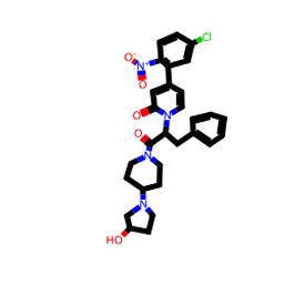 O=C(C(Cc1ccccc1)n1ccc(-c2cc(Cl)ccc2[N+](=O)[O-])cc1=O)N1CCC(N2CCC(O)C2)CC1